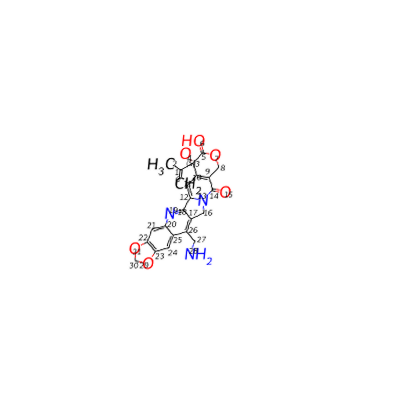 C=C(C)[C@@]1(O)C(=O)OCc2c1cc1n(c2=O)Cc2c-1nc1cc3c(cc1c2CN)OCO3